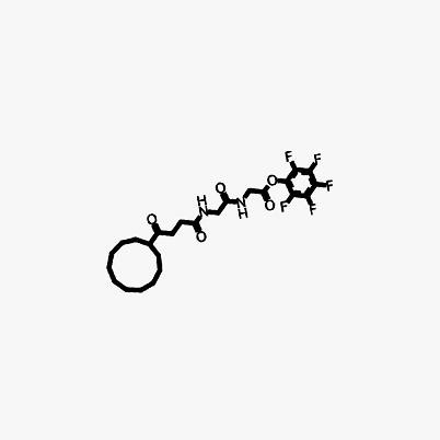 O=C(CCC(=O)C1CCCCCCCCCC1)NCC(=O)NCC(=O)Oc1c(F)c(F)c(F)c(F)c1F